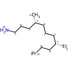 CC[C@@H](CCC[C@@H](C)CCCN)CCC(C)C